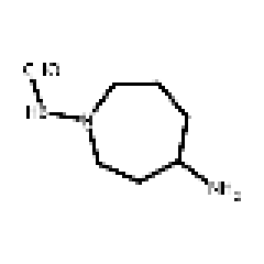 NC1CCCN(BC=O)CC1